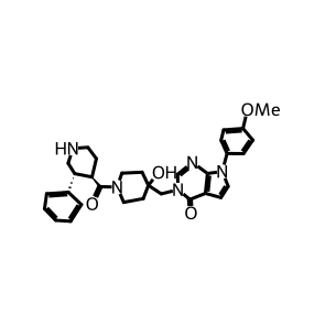 COc1ccc(-n2ccc3c(=O)n(CC4(O)CCN(C(=O)[C@@H]5CCNC[C@H]5c5ccccc5)CC4)cnc32)cc1